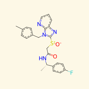 Cc1ccc(Cn2c([S+]([O-])CC(=O)N[C@@H](C)c3ccc(F)cc3)nc3cccnc32)cc1